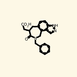 O=C(O)CC1Cc2ccc3[nH]ncc3c2CN(Cc2ccccc2)C1=O